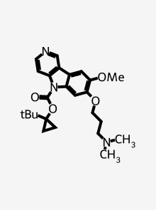 COc1cc2c3cnccc3n(C(=O)OC3(C(C)(C)C)CC3)c2cc1OCCCN(C)C